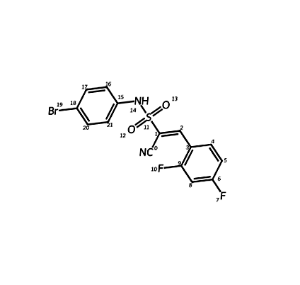 N#CC(=Cc1ccc(F)cc1F)S(=O)(=O)Nc1ccc(Br)cc1